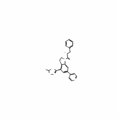 NC1NN=C(c2cc(-c3ccncc3)cc3c2CCN3C(=O)[C@@H](N)Cc2ccccc2)O1